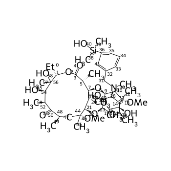 CC[C@@H]1OC(=O)[C@H](C)[C@@H](O[C@H]2C[C@](C)(OC)[C@@H](O)[C@H](C)O2)[C@H](C)[C@@H](O[C@@H]2O[C@H](C)C[C@H](N(C)Cc3cccc([Si](C)(C)O)c3)[C@H]2O)[C@](C)(OC)C[C@@H](C)C(=O)[C@@H](C)[C@@H](O)[C@]1(C)O